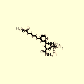 COC(=O)CCCCCc1ccnc([C@H](CCC(N)=O)N[S+]([O-])C(C)(C)C)c1